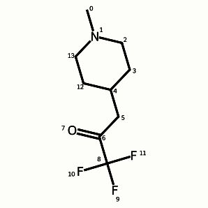 CN1CCC(CC(=O)C(F)(F)F)CC1